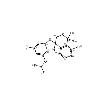 FC(F)OC1=CC(C(F)(F)F)=CN2CC3(CCC(F)(F)c4c3ccnc4Cl)N=C12